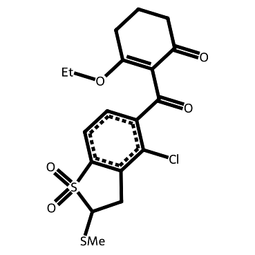 CCOC1=C(C(=O)c2ccc3c(c2Cl)CC(SC)S3(=O)=O)C(=O)CCC1